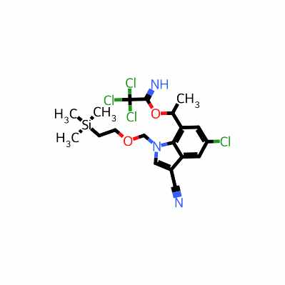 CC(OC(=N)C(Cl)(Cl)Cl)c1cc(Cl)cc2c(C#N)cn(COCC[Si](C)(C)C)c12